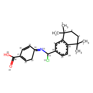 CC1(C)CCC(C)(C)c2cc(C(Cl)N=C3C=CC(C(=O)O)=CC3)ccc21